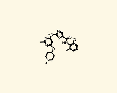 Cc1nc(Nc2ncc(C(=O)Nc3c(C)cccc3Cl)s2)cc(OC2CCN(C)CC2)n1